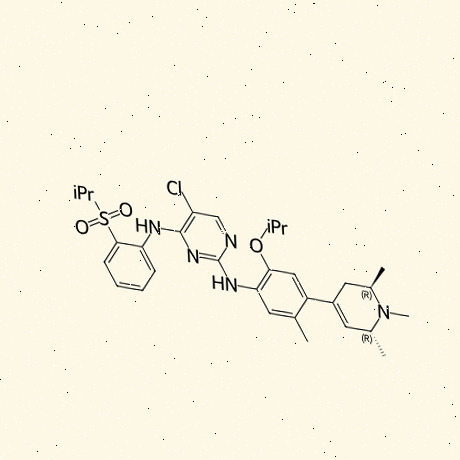 Cc1cc(Nc2ncc(Cl)c(Nc3ccccc3S(=O)(=O)C(C)C)n2)c(OC(C)C)cc1C1=C[C@@H](C)N(C)[C@H](C)C1